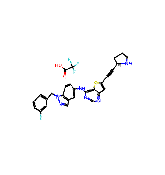 Fc1cccc(Cn2ncc3cc(Nc4ncnc5cc(C#C[C@H]6CCCN6)sc45)ccc32)c1.O=C(O)C(F)(F)F